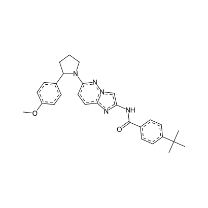 COc1ccc(C2CCCN2c2ccc3nc(NC(=O)c4ccc(C(C)(C)C)cc4)cn3n2)cc1